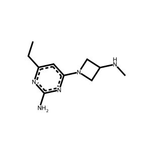 CCc1cc(N2CC(NC)C2)nc(N)n1